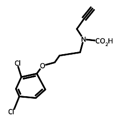 C#CCN(CCCOc1ccc(Cl)cc1Cl)C(=O)O